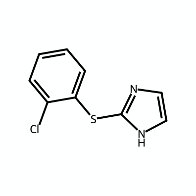 Clc1ccccc1Sc1ncc[nH]1